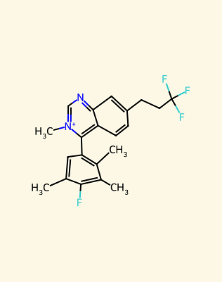 Cc1cc(-c2c3ccc(CCC(F)(F)F)cc3nc[n+]2C)c(C)c(C)c1F